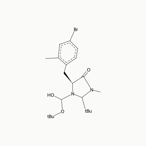 Cc1cc(Br)ccc1C[C@H]1C(=O)N(C)C(C(C)(C)C)N1C(O)OC(C)(C)C